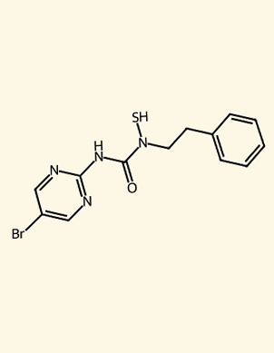 O=C(Nc1ncc(Br)cn1)N(S)CCc1ccccc1